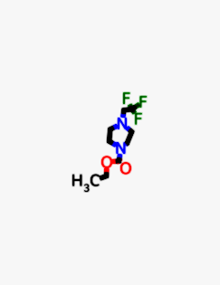 CCOC(=O)N1CCN(CC(F)(F)F)CC1